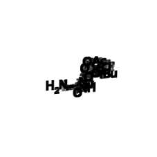 CC(=O)OCO[C@H]1C[C@H](n2cc(C#CCN)c(=O)[nH]c2=O)O[C@@H]1CO[Si](c1ccccc1)(c1ccccc1)C(C)(C)C